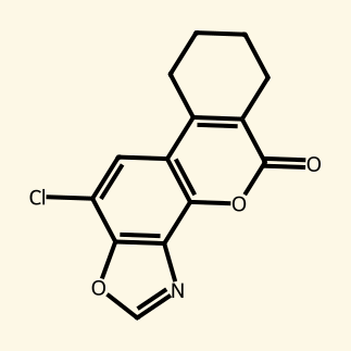 O=c1oc2c(cc(Cl)c3ocnc32)c2c1CCCC2